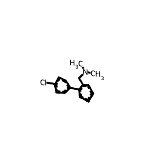 CN(C)Cc1ccccc1-c1ccc(Cl)cc1